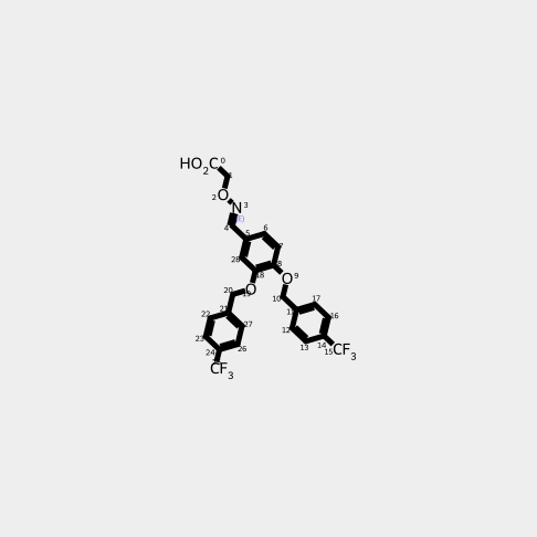 O=C(O)CO/N=C/c1ccc(OCc2ccc(C(F)(F)F)cc2)c(OCc2ccc(C(F)(F)F)cc2)c1